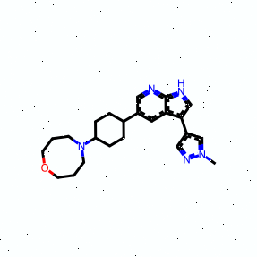 Cn1cc(-c2c[nH]c3ncc(C4CCC(N5CCCOCCC5)CC4)cc23)cn1